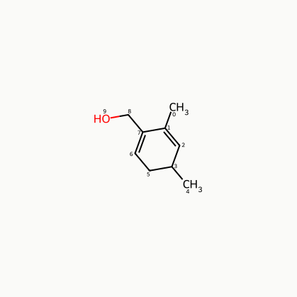 CC1=CC(C)CC=C1CO